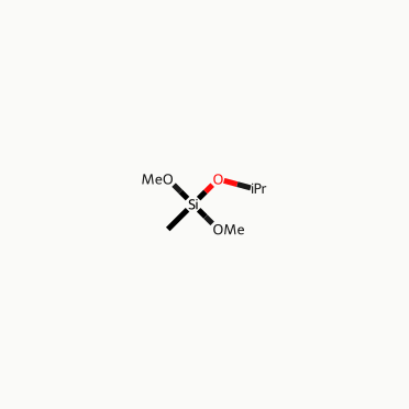 CO[Si](C)(OC)OC(C)C